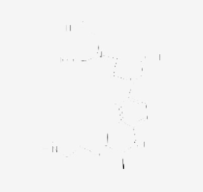 C[C@H](Nc1ccc(N(CCN(CC(=O)O)CC(=O)O)CC(=O)O)cc1)C(=O)OCCN